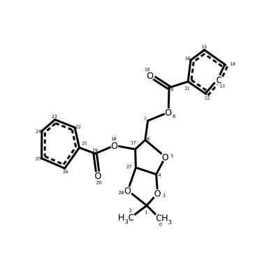 CC1(C)OC2OC(COC(=O)c3ccccc3)C(OC(=O)c3ccccc3)C2O1